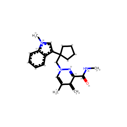 C=C1C(C)=CN(CC2(c3cn(C)c4ccccc34)CCCC2)N=C1C(=O)NC